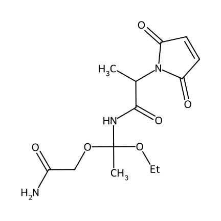 CCOC(C)(NC(=O)C(C)N1C(=O)C=CC1=O)OCC(N)=O